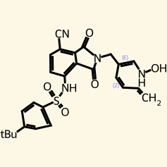 C=C/C=C\C(=C/NO)CN1C(=O)c2c(C#N)ccc(NS(=O)(=O)c3ccc(C(C)(C)C)cc3)c2C1=O